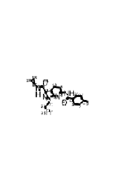 Cc1ccc(C(=O)Nc2ccc3c(C(=O)NC4CC4)nn(CCC(C)C)c3n2)cc1